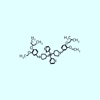 CCOc1cc(CN2CCC(N(c3cccnc3)N(c3cccnc3)C3CCN(Cc4ccc(OC(CC)CC)c(OCC)c4)CC3)CC2)ccc1OCC(C)C